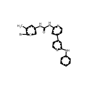 Cc1cc(NC(=O)Nc2cc(-c3ccnc(Nc4ccccc4)c3)ccn2)ccc1Br